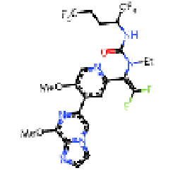 CCN(C(=O)NC(CCC(F)(F)F)C(F)(F)F)C(=C(F)F)c1cc(-c2cn3ccnc3c(OC)n2)c(OC)cn1